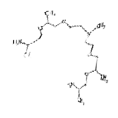 CC(N)COC(C)COCCN(C)CCOCC(C)OCC(C)N